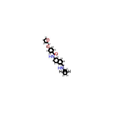 O=C(N[C@H]1CCc2cc(CN[C@@H]3C[C@H]4CC[C@@H]3C4)ccc2C1)c1ccc(OC[C@@H]2CCCO2)cc1